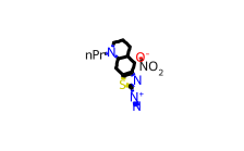 CCCN1CCCC2Cc3nc([N+]#N)sc3CC21.O=[N+]([O-])[O-]